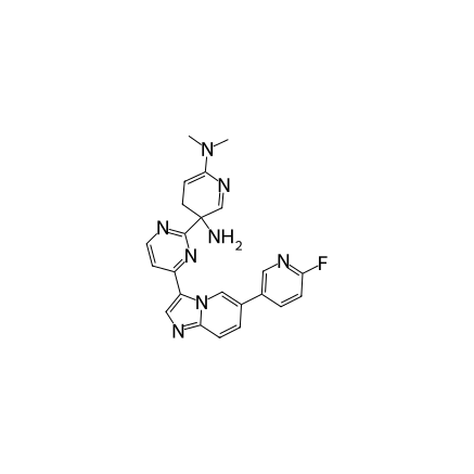 CN(C)C1=CCC(N)(c2nccc(-c3cnc4ccc(-c5ccc(F)nc5)cn34)n2)C=N1